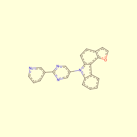 c1cncc(-c2ncc(-n3c4ccccc4c4c5occc5ccc43)cn2)c1